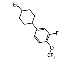 CCC1CCC(c2ccc(OC(F)(F)F)c(F)c2)CC1